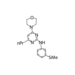 CCCc1cc(N2CCOCC2)nc(Nc2cccc(SC)c2)n1